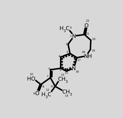 CN1Cc2cc(/C=C(/C(=O)O)C(C)(C)C)cnc2NCCC1=O